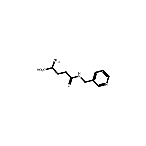 NC(CCC(=O)NCc1cccnc1)C(=O)O